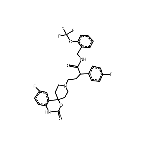 O=C1Nc2ccc(F)cc2C2(CCN(CCC(C(=O)NCc3ccccc3OC(F)(F)F)c3ccc(F)cc3)CC2)O1